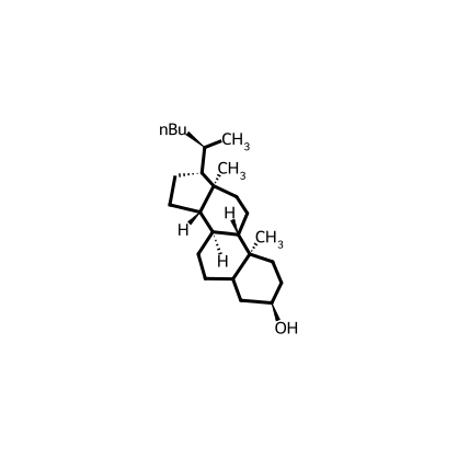 CCCC[C@@H](C)[C@H]1CC[C@H]2[C@@H]3CCC4C[C@H](O)CC[C@]4(C)[C@H]3CC[C@]12C